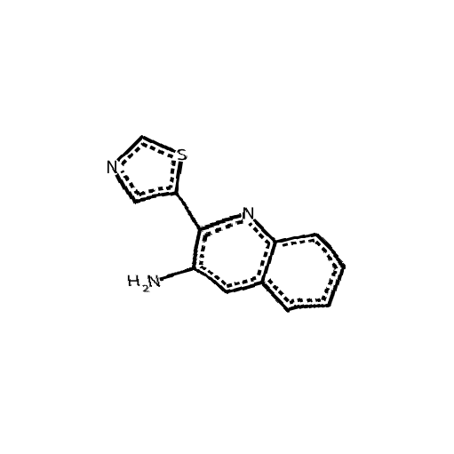 Nc1cc2ccccc2nc1-c1cncs1